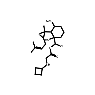 COC1CCCC(O)(C(Cl)OC(=O)CNC2CCC2)C1C1(C)OC1CC=C(C)C